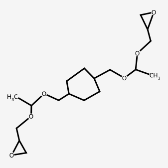 CC(OCC1CCC(COC(C)OCC2CO2)CC1)OCC1CO1